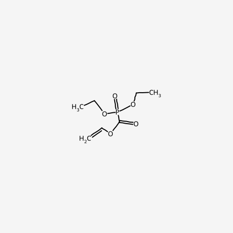 C=COC(=O)P(=O)(OCC)OCC